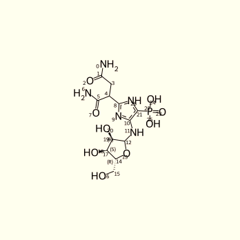 NC(=O)CC(C(N)=O)c1nc(NC2O[C@H](CO)[C@@H](O)[C@H]2O)c(P(=O)(O)O)[nH]1